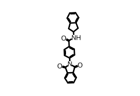 O=C(NC1Cc2ccccc2C1)c1ccc(N2C(=O)c3ccccc3C2=O)cc1